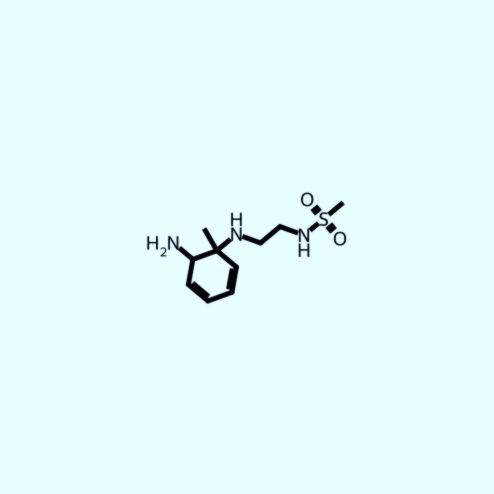 CC1(NCCNS(C)(=O)=O)C=CC=CC1N